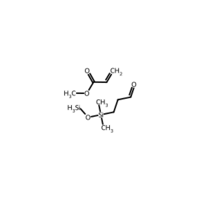 C=CC(=O)OC.C[Si](C)(CCC=O)O[SiH3]